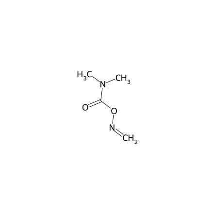 C=NOC(=O)N(C)C